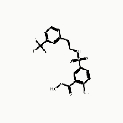 COC(=O)c1cc(S(=O)(=O)NCCc2cccc(C(F)(F)F)c2)ccc1C